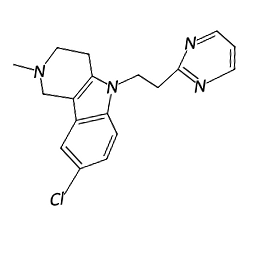 CN1CCc2c(c3cc(Cl)ccc3n2CCc2ncccn2)C1